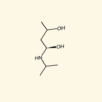 CC(O)C[C@@H](O)NC(C)C